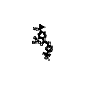 CCS(=O)(=O)c1cc(C2(C#N)CC2)cnc1C(=O)Nc1nnc(C(F)(F)C(F)(F)F)s1